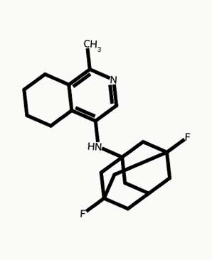 Cc1ncc(NC23CC4CC(F)(CC(F)(C4)C2)C3)c2c1CCCC2